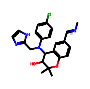 C/N=C/c1ccc2c(c1)C(N(Cc1ncc[nH]1)c1ccc(Cl)cc1)C(O)C(C)(C)O2